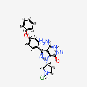 Nc1n[nH]c(=O)c2c1c(-c1ccc(Oc3ccccc3)cc1)nn2[C@@H]1CCN(Cl)C1